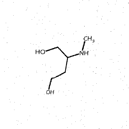 CNC(CO)CCO